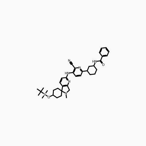 CN1Cc2nc(Nc3ccc(C4CCCC(NC(=O)c5ccccc5)C4)nc3C#N)ccc2C12CCC(O[Si](C)(C)C(C)(C)C)CC2